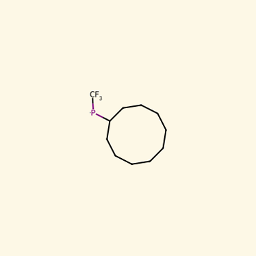 FC(F)(F)[P]C1CCCCCCCCC1